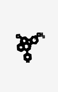 CN1CCc2c(c3cc(Cl)ccc3n2C=C(c2ccccc2)c2ccncc2)C1